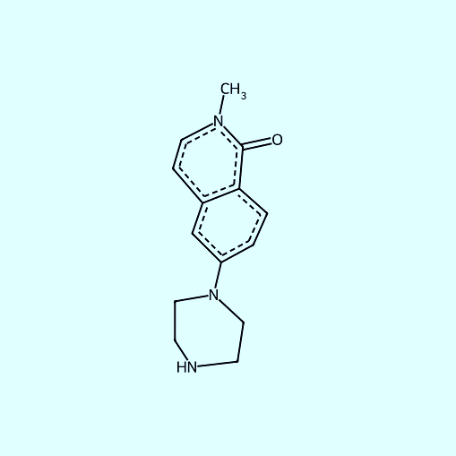 Cn1ccc2cc(N3CCNCC3)ccc2c1=O